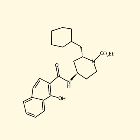 CCOC(=O)N1CC[C@@H](NC(=O)c2ccc3ccccc3c2O)C[C@@H]1CC1CCCCC1